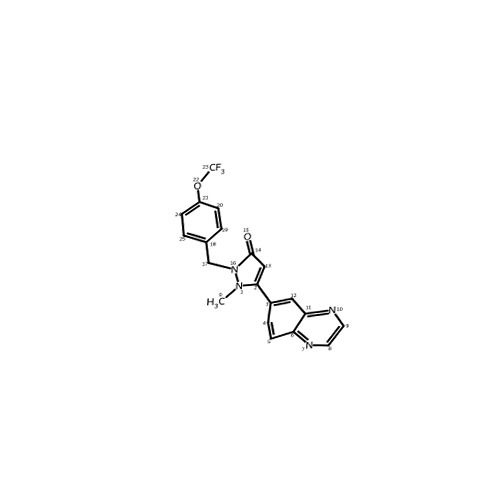 Cn1c(-c2ccc3nccnc3c2)cc(=O)n1Cc1ccc(OC(F)(F)F)cc1